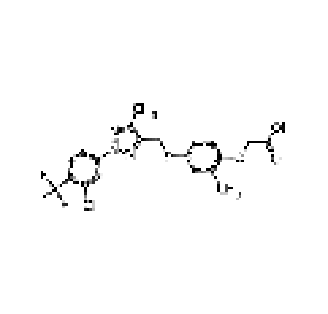 Cc1cc(SCc2nn(-c3ccc(C(F)(F)F)c(Cl)c3)nc2C)ccc1OCC(=O)O